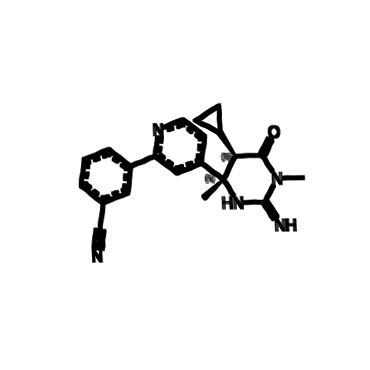 CN1C(=N)N[C@](C)(c2ccnc(-c3cccc(C#N)c3)c2)[C@@H](C2CC2)C1=O